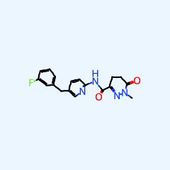 CN1N=C(C(=O)Nc2ccc(Cc3cccc(F)c3)cn2)CCC1=O